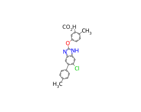 Cc1ccc(-c2cc3nc(Oc4ccc(C)c(C(=O)O)c4)[nH]c3cc2Cl)cc1